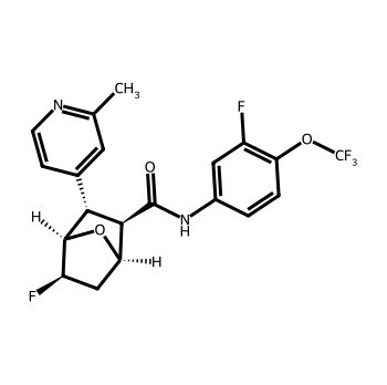 Cc1cc([C@H]2[C@H]3O[C@H](C[C@H]3F)[C@@H]2C(=O)Nc2ccc(OC(F)(F)F)c(F)c2)ccn1